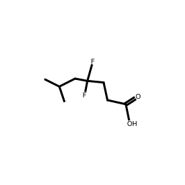 CC(C)CC(F)(F)CCC(=O)O